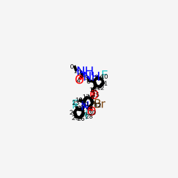 CCNC(=O)NCc1cc(F)ccc1COc1cc(C)n(-c2c(F)cccc2F)c(=O)c1Br